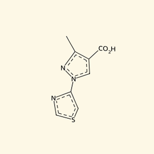 Cc1nn(-c2cscn2)cc1C(=O)O